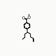 C=CCCC(CCC)c1ccc(C(=O)OC)cc1